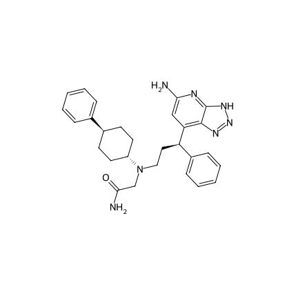 NC(=O)CN(CC[C@H](c1ccccc1)c1cc(N)nc2[nH]nnc12)[C@H]1CC[C@H](c2ccccc2)CC1